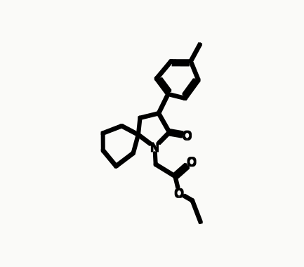 CCOC(=O)CN1C(=O)C(c2ccc(C)cc2)CC12CCCCC2